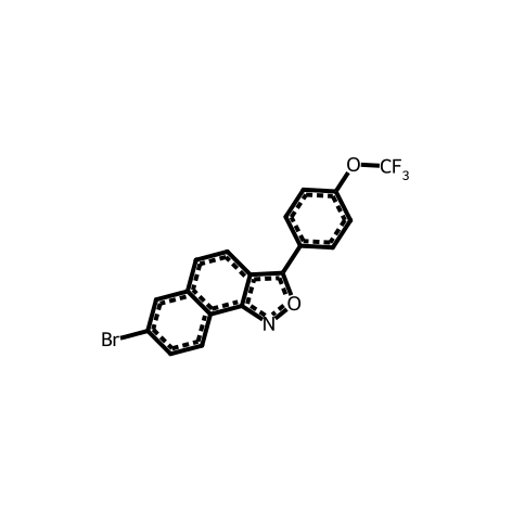 FC(F)(F)Oc1ccc(-c2onc3c2ccc2cc(Br)ccc23)cc1